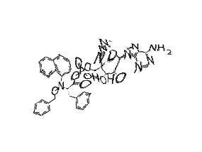 [N-]=[N+]=N[C@]1(COP(=O)(O)OC(=O)[C@H](Cc2ccccc2)N(OCc2ccccc2)c2cccc3ccccc23)O[C@@H](n2cnc3c(N)ncnc32)[C@H](O)[C@@H]1O